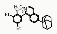 CCc1cc(CC)c(C)c(-c2c3ccc(C45CC6CC(CC(C6)C4)C5)cc3cc[n+]2C)c1